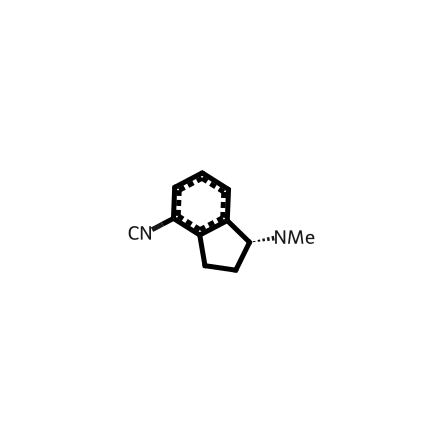 [C-]#[N+]c1cccc2c1CC[C@H]2NC